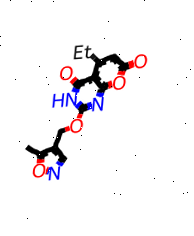 CCc1cc(=O)oc2nc(OCc3cnoc3C)[nH]c(=O)c12